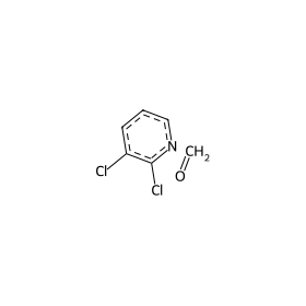 C=O.Clc1cccnc1Cl